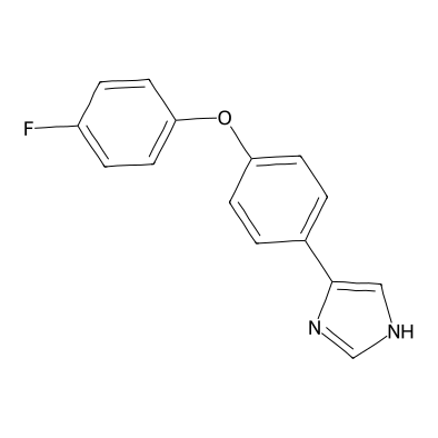 Fc1ccc(Oc2ccc(-c3c[nH]cn3)cc2)cc1